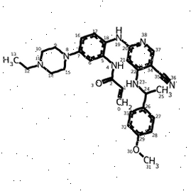 C=CC(=O)Nc1cc(N2CCN(CC)CC2)ccc1Nc1cc(NC(C)c2ccc(OC)cc2)c(C#N)cn1